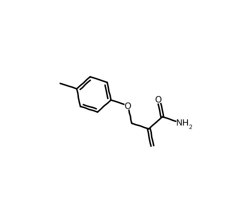 C=C(COc1ccc(C)cc1)C(N)=O